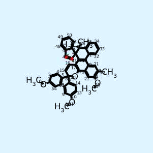 COc1ccc(C2(c3ccc(OC)cc3)C=Cc3c4c(c5cc(C)c(OC)cc5c3O2)-c2ccccc2C(C)(C)C42c3ccccc3-c3ccccc32)cc1